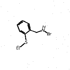 CCSc1ccccc1CNBr